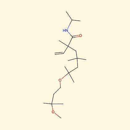 C=CC(C)(CC(C)(C)CC(C)(C)OCCC(C)(C)OC)C(=O)NC(C)C